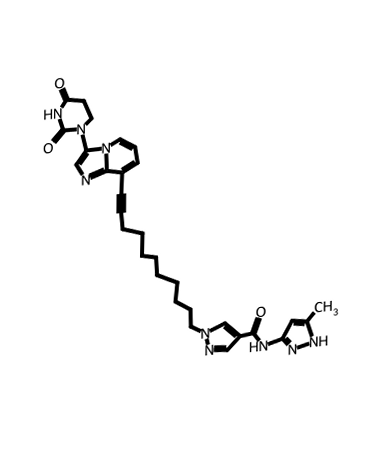 Cc1cc(NC(=O)c2cnn(CCCCCCCCCC#Cc3cccn4c(N5CCC(=O)NC5=O)cnc34)c2)n[nH]1